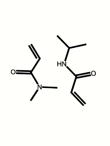 C=CC(=O)N(C)C.C=CC(=O)NC(C)C